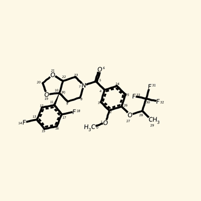 COc1cc(C(=O)N2CC[C@]3(c4cc(F)ccc4F)OCOC3C2)ccc1OC(C)C(F)(F)F